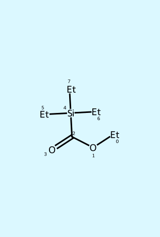 CCOC(=O)[Si](CC)(CC)CC